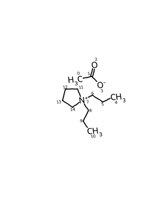 CC(=O)[O-].CCC[N+]1(CCC)CCCC1